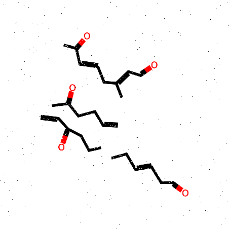 C=CC(=O)CCC.C=CCCC(C)=O.CC(=O)C=CCC(C)=CC=O.CCC=CCC=O